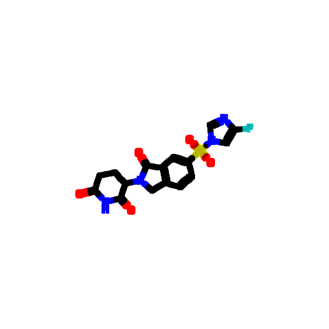 O=C1CCC(N2Cc3ccc(S(=O)(=O)n4cnc(F)c4)cc3C2=O)C(=O)N1